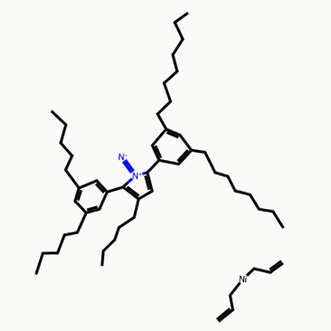 C=C[CH2][Ni][CH2]C=C.CCCCCCCCc1cc(CCCCCCCC)cc(C2=CC(CCCCC)=C(c3cc(CCCCC)cc(CCCCC)c3)[N+]2=[N-])c1